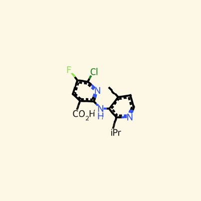 Cc1ccnc(C(C)C)c1Nc1nc(Cl)c(F)cc1C(=O)O